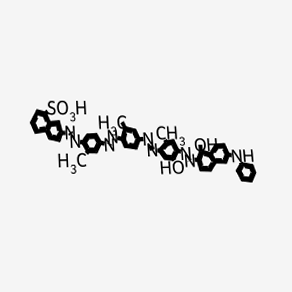 Cc1cc(N=Nc2cc(O)c(N=Nc3ccc4cc(Nc5ccccc5)ccc4c3O)cc2C)ccc1N=Nc1ccc(N=Nc2ccc3cccc(S(=O)(=O)O)c3c2)c(C)c1